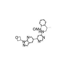 COc1ccccc1[C@H](C)CNc1cc(-c2cnc3c(cnn3C3COC3)c2)ncn1